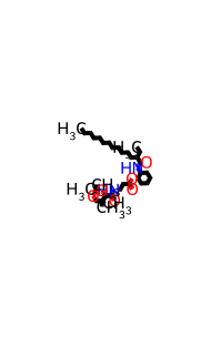 CCCCCCCCCCCCC(CC)C(=O)NC1CCCCC1OC(=O)CCNC(=O)C1OC(C)(C)OCC1(C)C